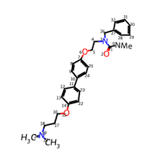 CNC(=O)N(CCOc1ccc(-c2ccc(OCCCN(C)C)cc2)cc1)Cc1ccccc1